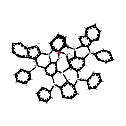 c1ccc(N2c3cccc4c3B(c3c2cc2c5c3Oc3ccccc3B5c3sc5ccccc5c3N2c2ccccc2)c2c(cc3c5c2Oc2ccccc2B5c2sc5ccccc5c2N3c2ccccc2)N4c2ccccc2)cc1